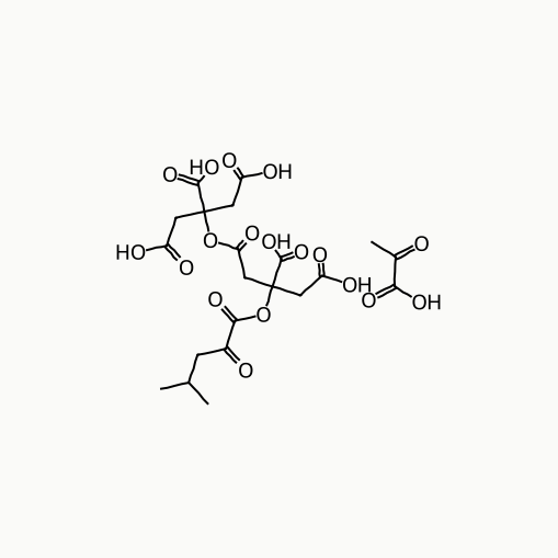 CC(=O)C(=O)O.CC(C)CC(=O)C(=O)OC(CC(=O)O)(CC(=O)OC(CC(=O)O)(CC(=O)O)C(=O)O)C(=O)O